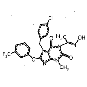 C/C(=N\O)n1c(=O)c2c(nc(Oc3cccc(C(F)(F)F)c3)n2Cc2ccc(Cl)cc2)n(C)c1=O